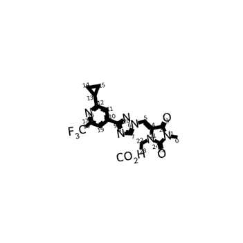 CN1C(=O)/C(=C/n2cnc(-c3cc(C4CC4)nc(C(F)(F)F)c3)n2)N(CC(=O)O)C1=O